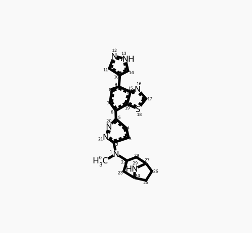 CN(c1ccc(-c2ccc(-c3cn[nH]c3)c3ncsc23)nn1)C1CC2CCC(C1)N2